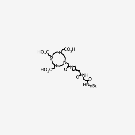 CCCCNC(=O)CNC(=O)C=C1CN(C(=O)CN2CCN(CC(=O)O)CCN(CC(=O)O)CCN(CC(=O)O)CC2)C1